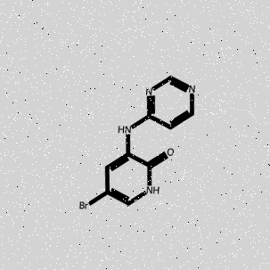 O=c1[nH]cc(Br)cc1Nc1ccncn1